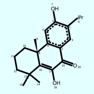 CC(C)c1cc2c(cc1O)[C@@]1(C)CCCC(C)(C)C1=C(O)C2=O